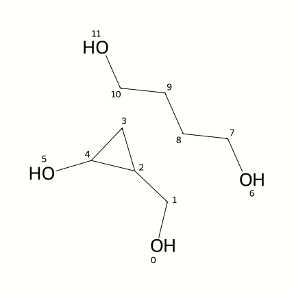 OCC1CC1O.OCCCCO